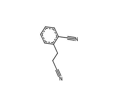 N#CCCc1ccccc1C#N